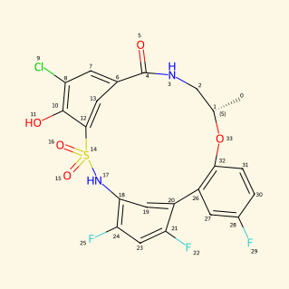 C[C@H]1CNC(=O)c2cc(Cl)c(O)c(c2)S(=O)(=O)Nc2cc(c(F)cc2F)-c2cc(F)ccc2O1